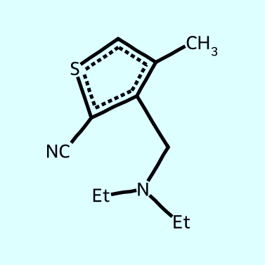 CCN(CC)Cc1c(C)csc1C#N